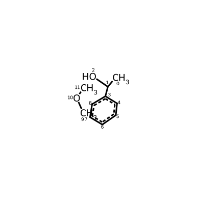 CC(O)c1ccccc1.COC